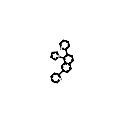 c1ccc(-c2ccc3ccc(-c4ccccn4)c(-n4cccc4)c3c2)nc1